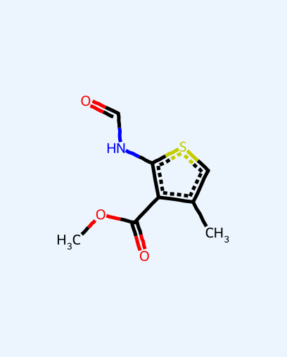 COC(=O)c1c(C)csc1NC=O